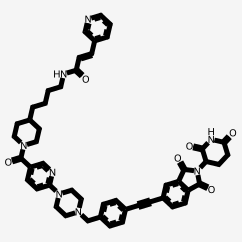 O=C(/C=C/c1cccnc1)NCCCCC1CCN(C(=O)c2ccc(N3CCN(Cc4ccc(C#Cc5ccc6c(c5)C(=O)N(C5CCC(=O)NC5=O)C6=O)cc4)CC3)nc2)CC1